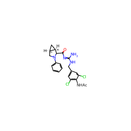 CC(=O)Nc1c(Cl)cc(CNC(N)=NC(=O)C2[C@@H]3C[C@@H]3CN2c2ccccc2)cc1Cl